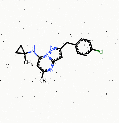 Cc1cc(NC2(C)CC2)n2nc(Cc3ccc(Cl)cc3)cc2n1